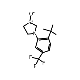 CC(C)(C)c1ccc(C(F)(F)F)cc1N1CC[S+]([O-])C1